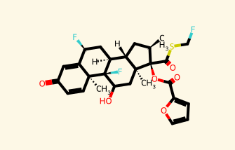 C[C@@H]1C[C@H]2[C@@H]3C[C@H](F)C4=CC(=O)C=C[C@]4(C)[C@@]3(F)C(O)C[C@]2(C)[C@@]1(OC(=O)c1ccco1)C(=O)SCF